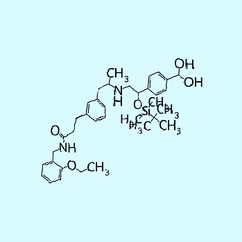 CCOc1ccccc1CNC(=O)CCc1cccc(CC(C)NCC(O[Si](C)(C)C(C)(C)C)c2ccc(C(O)O)cc2)c1